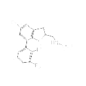 O=C(O)NCC1Cc2cc(Cl)cc(-c3cccc(F)c3F)c2O1